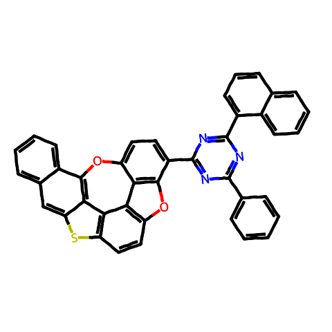 c1ccc(-c2nc(-c3cccc4ccccc34)nc(-c3ccc4oc5c6ccccc6cc6sc7ccc8oc3c4c8c7c65)n2)cc1